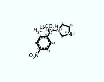 CC(=O)O.O=[N+]([O-])c1ccc(NN2CCNC2)cc1